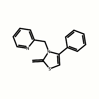 C=C1SC=C(c2ccccc2)N1Cc1ccccn1